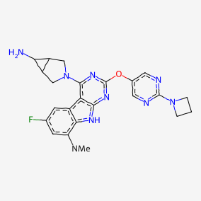 CNc1cc(F)cc2c1[nH]c1nc(Oc3cnc(N4CCC4)nc3)nc(N3CC4C(N)C4C3)c12